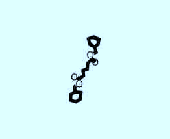 O=C(CCCCC(=O)OCC1CCCCC1)OCC1CC=CCC1